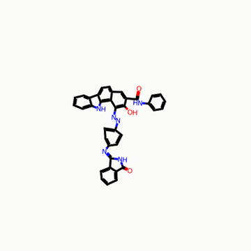 O=C1N/C(=N\c2ccc(/N=N/c3c(O)c(C(=O)Nc4ccccc4)cc4ccc5c6ccccc6[nH]c5c34)cc2)c2ccccc21